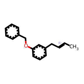 C/C=C/Cc1cccc(OCc2ccccc2)c1